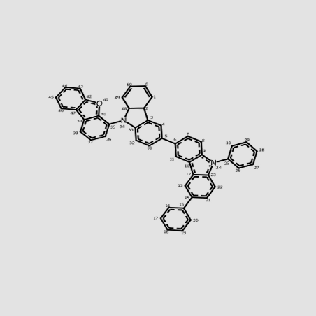 C1=CC2c3cc(-c4ccc5c(c4)c4cc(-c6ccccc6)ccc4n5-c4ccccc4)ccc3N(c3cccc4c3oc3ccccc34)C2C=C1